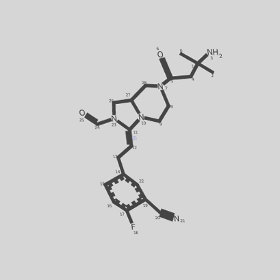 CC(C)(N)CC(=O)N1CCN2/C(=C/Cc3ccc(F)c(C#N)c3)N(C=O)CC2C1